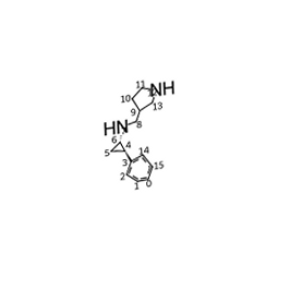 c1ccc([C@H]2C[C@@H]2NCC2CCNC2)cc1